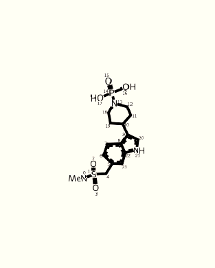 CNS(=O)(=O)Cc1ccc2c(C3CCN(P(=O)(O)O)CC3)c[nH]c2c1